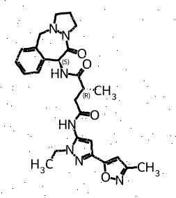 CCn1nc(-c2cc(C)no2)cc1NC(=O)C[C@@H](C)C(=O)N[C@@H]1C(=O)N2CCCN2Cc2ccccc21